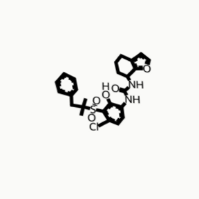 CC(C)(Cc1ccccc1)S(=O)(=O)c1c(Cl)ccc(NC(=O)NC2CCCc3ccoc32)c1O